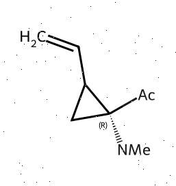 C=CC1C[C@]1(NC)C(C)=O